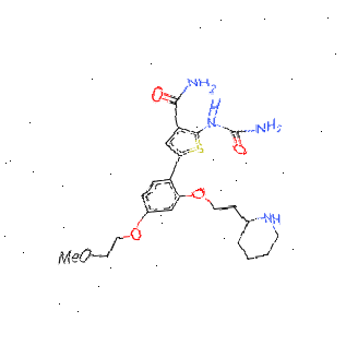 COCCOc1ccc(-c2cc(C(N)=O)c(NC(N)=O)s2)c(OCCC2CCCCN2)c1